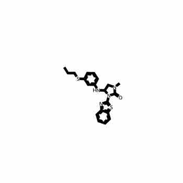 CCCSc1cccc(NC2CN(C)C(=O)N2c2nc3ccccc3s2)c1